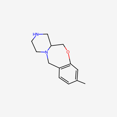 Cc1ccc2c(c1)OCC1CNCCN1C2